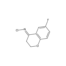 Fc1ccc2c(c1)C(=NCl)CCO2